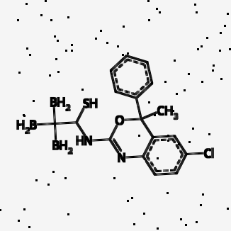 BC(B)(B)C(S)NC1=Nc2ccc(Cl)cc2C(C)(c2ccccc2)O1